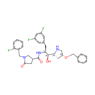 O=C(N[C@@H](Cc1cc(F)cc(F)c1)[C@H](O)[C@H]1C[C@@H](OCc2ccccc2)CN1)C1CC(=O)N(Cc2ccccc2F)C1